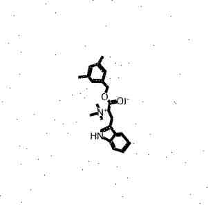 Cc1cc(C)cc(COC(=O)C(Cc2c[nH]c3ccccc23)[N+](C)(C)C)c1.[I-]